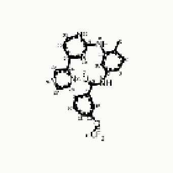 Cc1ccc(NC(=O)c2cccc(OC(F)(F)F)c2)cc1Nc1nccc(-c2cnccn2)n1